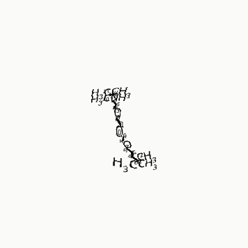 CC(C)(C)CCCOCCOCCOCCCNC(C)(C)C